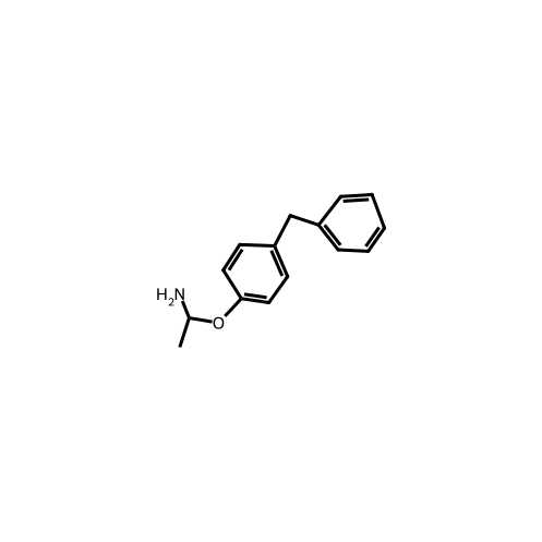 CC(N)Oc1ccc(Cc2ccccc2)cc1